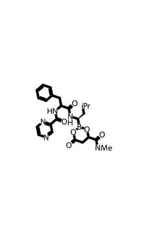 CNC(=O)C1CC(=O)OB([C@H](CC(C)C)NC(=O)C(Cc2ccccc2)NC(=O)c2cnccn2)O1